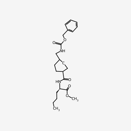 CCCC[C@@H](NC(=O)C1CCC(CNC(=O)OCc2ccccc2)CC1)C(=O)OC